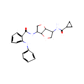 O=C(NC1COC2C(NC(=O)C3CC3)COC12)c1ccccc1Nc1ccccc1